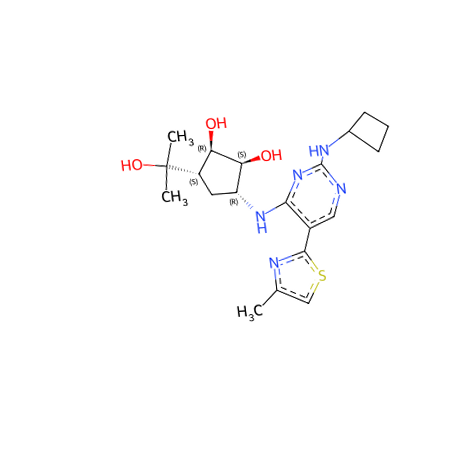 Cc1csc(-c2cnc(NC3CCC3)nc2N[C@@H]2C[C@H](C(C)(C)O)[C@@H](O)[C@H]2O)n1